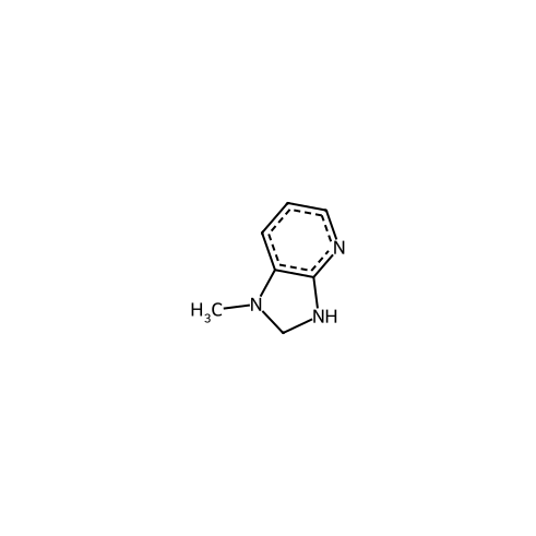 CN1CNc2ncccc21